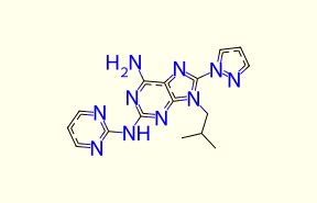 CC(C)Cn1c(-n2cccn2)nc2c(N)nc(Nc3ncccn3)nc21